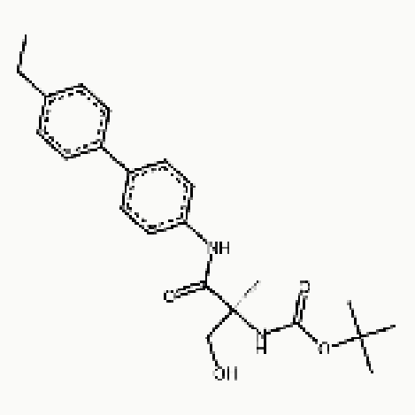 CCc1ccc(-c2ccc(NC(=O)[C@](C)(CO)NC(=O)OC(C)(C)C)cc2)cc1